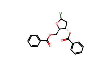 O=C(OC[C@H]1OC(Cl)C[C@@H]1OC(=O)c1ccccc1)c1ccccc1